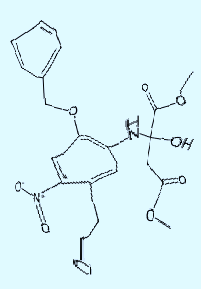 COC(=O)CC(O)(Nc1cc(CCCl)c([N+](=O)[O-])cc1OCc1ccccc1)C(=O)OC